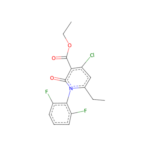 CCOC(=O)c1c(Cl)cc(CC)n(-c2c(F)cccc2F)c1=O